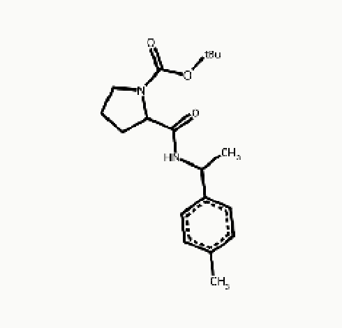 Cc1ccc(C(C)NC(=O)C2CCCN2C(=O)OC(C)(C)C)cc1